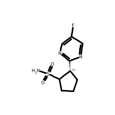 NS(=O)(=O)C1CCC[C@H]1c1ncc(F)cn1